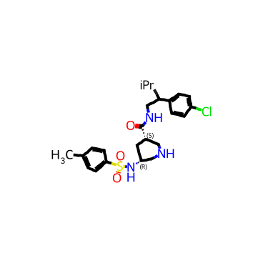 Cc1ccc(S(=O)(=O)N[C@H]2CNC[C@@H](C(=O)NCC(c3ccc(Cl)cc3)C(C)C)C2)cc1